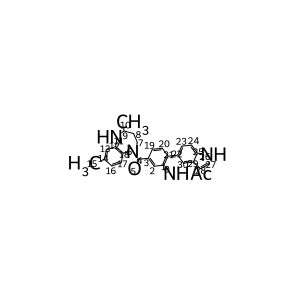 CC(=O)Nc1cc(C(=O)N2CCC(C)Nc3cc(C)ccc32)ccc1-c1ccc2[nH]ccc2c1